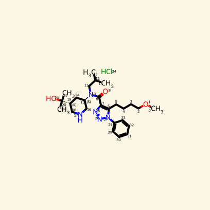 COCCCCc1c(C(=O)N(CC(C)C)[C@@H]2CNC[C@H](C(C)(C)O)C2)nnn1-c1ccccc1.Cl